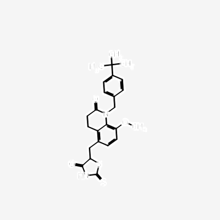 COc1ccc(CC2SC(=S)NC2=O)c2c1N(Cc1ccc(C(C)(C)C)cc1)C(=O)CC2